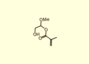 C=C(C)C(=O)OC(CO)OC